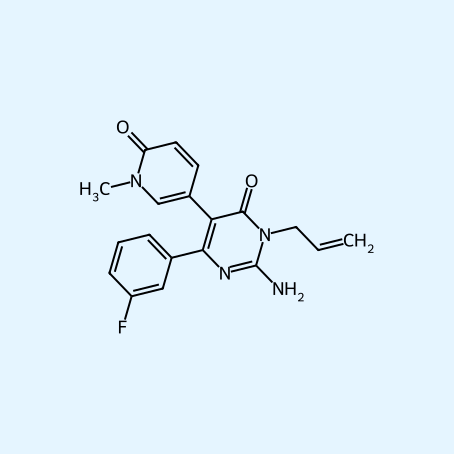 C=CCn1c(N)nc(-c2cccc(F)c2)c(-c2ccc(=O)n(C)c2)c1=O